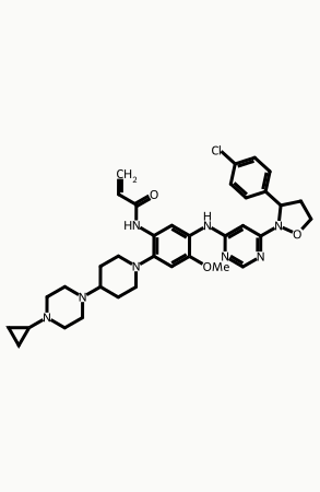 C=CC(=O)Nc1cc(Nc2cc(N3OCCC3c3ccc(Cl)cc3)ncn2)c(OC)cc1N1CCC(N2CCN(C3CC3)CC2)CC1